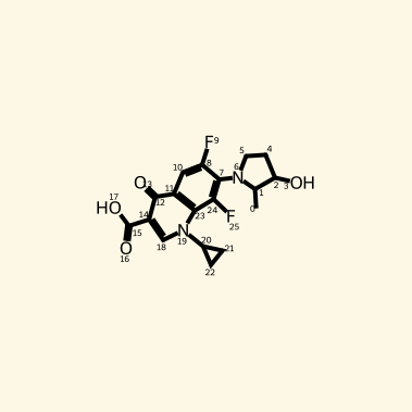 CC1C(O)CCN1c1c(F)cc2c(=O)c(C(=O)O)cn(C3CC3)c2c1F